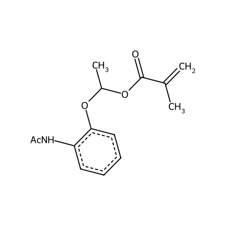 C=C(C)C(=O)OC(C)Oc1ccccc1NC(C)=O